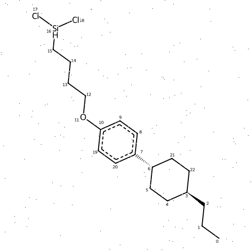 CCC[C@H]1CC[C@H](c2ccc(OCCCC[SiH](Cl)Cl)cc2)CC1